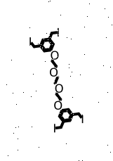 ICc1cc(CI)cc(OCCOCCOCCOc2cc(CI)cc(CI)c2)c1